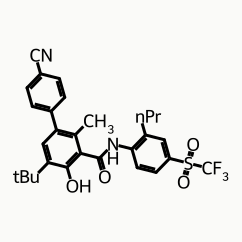 CCCc1cc(S(=O)(=O)C(F)(F)F)ccc1NC(=O)c1c(C)c(-c2ccc(C#N)cc2)cc(C(C)(C)C)c1O